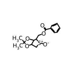 CC1(C)OC2C[S+]([O-])C(COC(=O)c3ccccc3)C2O1